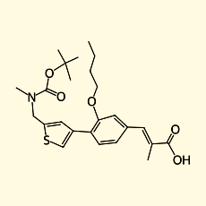 CCCCOc1cc(/C=C(\C)C(=O)O)ccc1-c1csc(CN(C)C(=O)OC(C)(C)C)c1